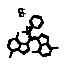 Cc1ccc(C)c2c1C=C[CH]2[Zr+2]([CH]1C=Cc2c(C)ccc(C)c21)[SiH](C)c1ccccc1.[Cl-].[Cl-]